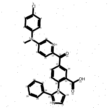 CN(c1ccc(Cl)cc1)c1ccc(C(=O)c2ccc(-n3ccnc3-c3ccccc3)c(C(=O)O)c2)nc1